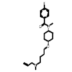 C=CCN(C)CCCCO[C@H]1CC[C@H](N(C)C(=O)c2ccc(F)cc2)CC1